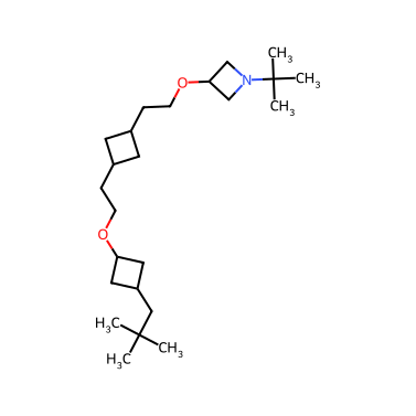 CC(C)(C)CC1CC(OCCC2CC(CCOC3CN(C(C)(C)C)C3)C2)C1